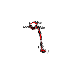 COC(=O)N[C@H]1C[C@@H]2CC[C@@H](C)[C@@](O)(O2)C(=O)C(=O)N2CCCC[C@H]2C(=O)O[C@H]([C@H](N)C[C@@H]2CC[C@@H](OCCCCc3cn(CCOCCOCCOCCOCCOCCOCCOCCOCCC(=O)NCCCCn4nc(-c5cnc6[nH]ccc6c5)c5c(N)ncnc54)nn3)[C@H](OC)C2)CC(=O)[C@H](C)/C=C(\C)[C@@H](O)[C@@H](OC)C(=O)[C@H](C)C[C@H](C)/C=C/C=C/C=C/1C